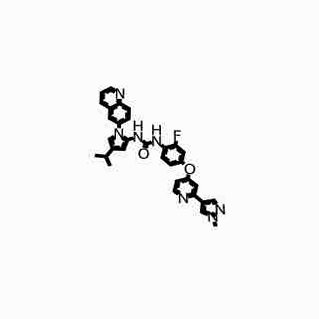 CC(C)c1cc(NC(=O)Nc2ccc(Oc3ccnc(-c4cnn(C)c4)c3)cc2F)n(-c2ccc3ncccc3c2)c1